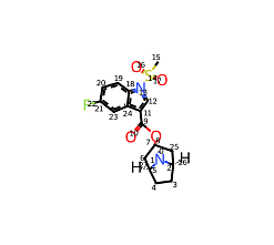 CN1[C@@H]2CC[C@H]1C[C@@H](OC(=O)c1cn(S(C)(=O)=O)c3ccc(F)cc13)C2